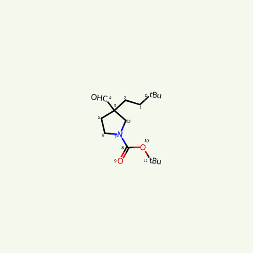 CC(C)(C)CCC1(C=O)CCN(C(=O)OC(C)(C)C)C1